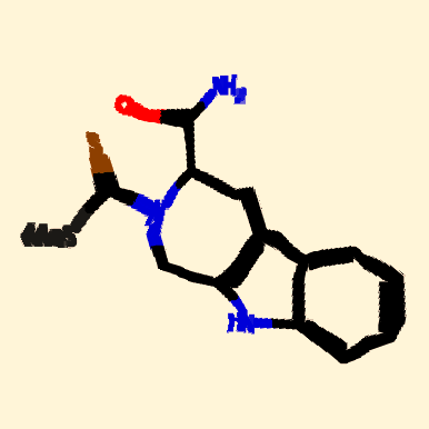 CSC(=S)N1Cc2[nH]c3ccccc3c2CC1C(N)=O